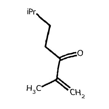 C=C(C)C(=O)CCC(C)C